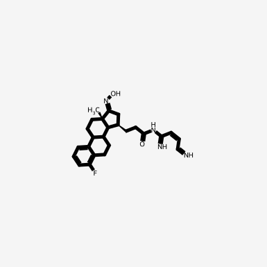 C[C@]12CCC3c4cccc(F)c4CCC3C1[C@H](CCC(=O)NC(=N)/C=C\C=N)C/C2=N\O